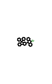 Brc1c2ccccc2c(-c2ccc3c(c2)C(c2ccccc2)(c2ccccc2)c2ccccc2-3)c2ccccc12